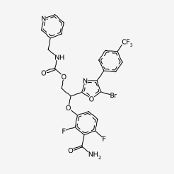 NC(=O)c1c(F)ccc(OC(COC(=O)NCc2cccnc2)c2nc(-c3ccc(C(F)(F)F)cc3)c(Br)o2)c1F